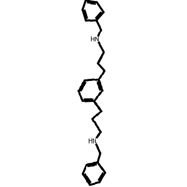 c1ccc(CNCCCc2cccc(CCCNCc3ccccc3)c2)cc1